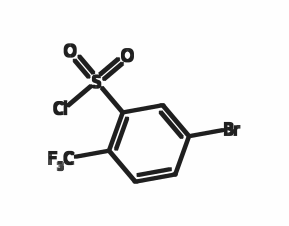 O=S(=O)(Cl)c1cc(Br)ccc1C(F)(F)F